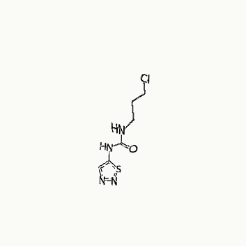 O=C(NCCCCl)Nc1cnns1